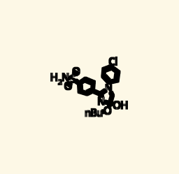 CCCCOC1(O)CN(c2ccc(Cl)cc2)C(c2ccc(S(N)(=O)=O)cc2)=N1